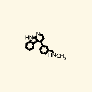 CNCc1cccc(-c2ccnc3[nH]c4ccccc4c23)c1